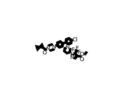 CCOC(=O)c1cnn(C2CCCN(c3cc(Cl)ccc3-c3ccc(N4CCN(C(=O)C5CC56CC6)CC4)cc3)C2)c1C(F)(F)F